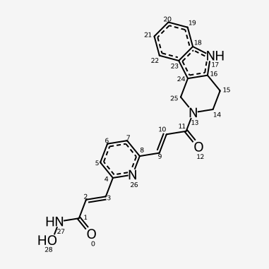 O=C(/C=C/c1cccc(/C=C/C(=O)N2CCc3[nH]c4ccccc4c3C2)n1)NO